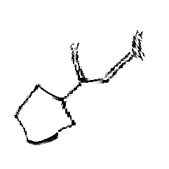 [N-]=[N+]=CC(=O)C1CCCCC1